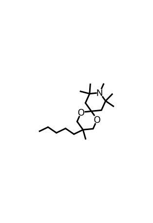 CCCCCC1(C)COC2(CC(C)(C)N(C)C(C)(C)C2)OC1